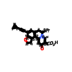 CC(C)C1Cc2cc(C#CC3CC3)c3c(c2-c2cc(=O)c(C(=O)O)cn21)CCO3